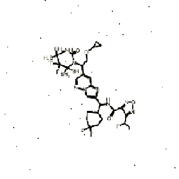 BC1(B)NC(=O)N(C(COC2CC2)c2cnn3cc(C(NC(=O)c4nonc4C(F)F)C4CCC(F)(F)CC4)nc3c2)C(B)(B)C1(F)F